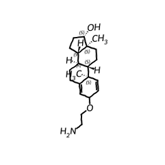 C[C@]12CC[C@H]3[C@@H](CCC4=CC(OCCN)C=C[C@@]43C)[C@@H]1CC[C@@H]2O